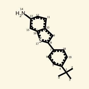 CC(C)(C)c1ccc(-c2cc3ccc(N)cc3s2)cc1